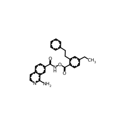 CCc1ccc(C(=O)ONC(=O)c2ccc3ccnc(N)c3c2)c(CCc2ccccc2)c1